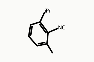 [C-]#[N+]c1c(C)cccc1C(C)C